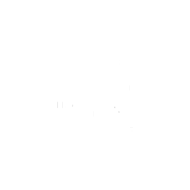 CCCCCCCCO.CCN(CC)CC